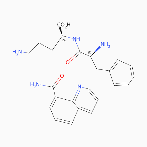 NC(=O)c1cccc2cccnc12.NCCC[C@H](NC(=O)[C@@H](N)Cc1ccccc1)C(=O)O